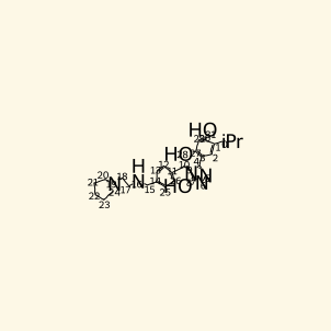 CC(C)c1cc(-c2nnc(O)n2Cc2ccc(CNCCN3CCCCC3)cc2)c(O)cc1O